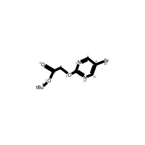 CC(C)(C)OC(=O)COc1ncc(Br)cn1